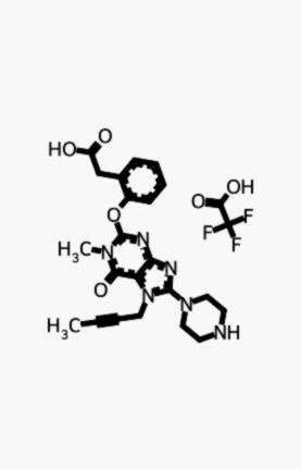 CC#CCn1c(N2CCNCC2)nc2nc(Oc3ccccc3CC(=O)O)n(C)c(=O)c21.O=C(O)C(F)(F)F